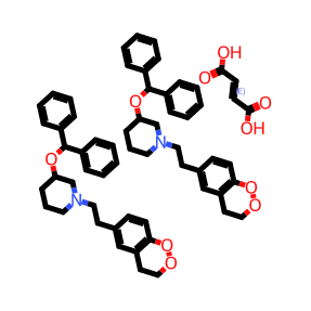 O=C(O)/C=C/C(=O)O.c1ccc(C(OC2CCCN(CCc3ccc4c(c3)CCOO4)C2)c2ccccc2)cc1.c1ccc(C(OC2CCCN(CCc3ccc4c(c3)CCOO4)C2)c2ccccc2)cc1